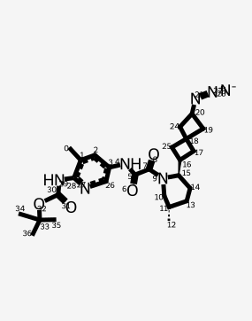 Cc1cc(NC(=O)C(=O)N2C[C@@H](C)CC[C@@H]2C2CC3(CC(N=[N+]=[N-])C3)C2)cnc1NC(=O)OC(C)(C)C